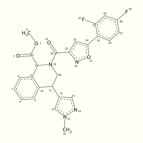 COC(=O)C1c2ccccc2C(c2cnn(C)c2)CN1C(=O)c1cc(-c2ccc(F)cc2F)on1